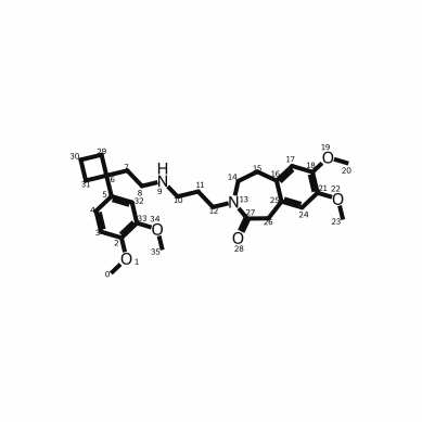 COc1ccc(C2(CCNCCCN3CCc4cc(OC)c(OC)cc4CC3=O)CCC2)cc1OC